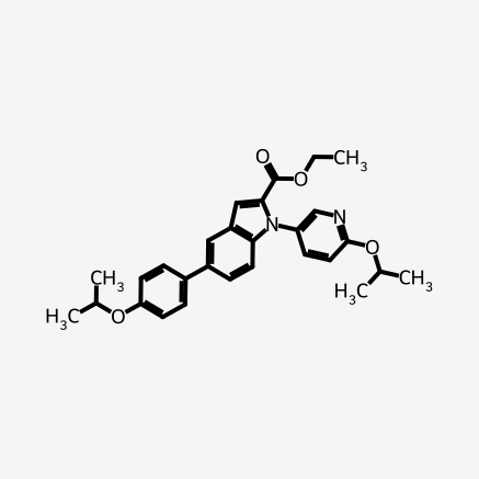 CCOC(=O)c1cc2cc(-c3ccc(OC(C)C)cc3)ccc2n1-c1ccc(OC(C)C)nc1